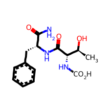 C[C@H](O)[C@H](NC(=O)O)C(=O)N[C@H](Cc1ccccc1)C(N)=O